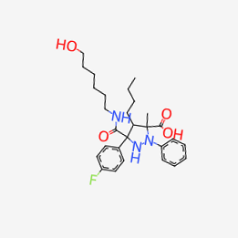 CCCCC1C(C(=O)NCCCCCCO)(c2ccc(F)cc2)NN(c2ccccc2)C1(C)C(=O)O